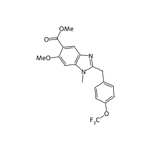 COC(=O)c1cc2nc(Cc3ccc(OC(F)(F)F)cc3)n(C)c2cc1OC